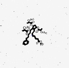 CC(=O)O[C@@H](C)C(=O)OC(CCc1ccccc1)CCC1C(OC(=O)[C@H](C)OC(C)=O)CC(OC(=O)[C@H](C)OC(C)=O)C1C/C=C\CCCC(=O)OC(C)C